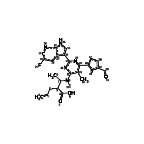 C=CCC(C(=O)O)C(C)N(I)c1nc(-c2c[nH]c3ncc(F)cc23)nc(-c2ccc(C=O)s2)c1C